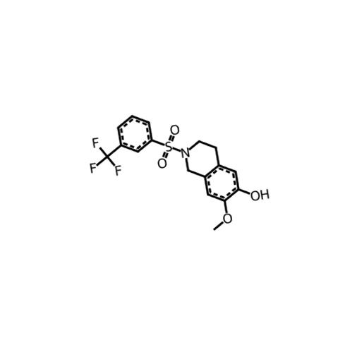 COc1cc2c(cc1O)CCN(S(=O)(=O)c1cccc(C(F)(F)F)c1)C2